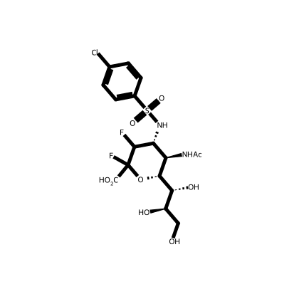 CC(=O)N[C@H]1[C@H]([C@H](O)[C@H](O)CO)OC(F)(C(=O)O)C(F)[C@@H]1NS(=O)(=O)c1ccc(Cl)cc1